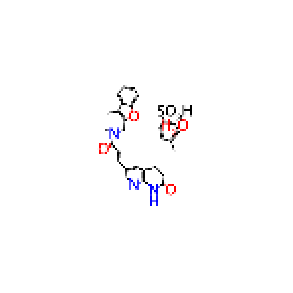 Cc1c(CN(C)C(=O)C=Cc2cnc3c(c2)CCC(=O)N3)oc2ccccc12.Cc1ccc(S(=O)(=O)O)cc1.O